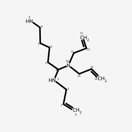 C=CCNC(CCCC[NH])N(CC=C)CC=C